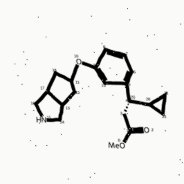 COC(=O)C[C@H](c1cccc(OC2CC3CNCC3C2)c1)C1CC1